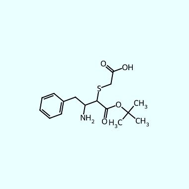 CC(C)(C)OC(=O)C(SCC(=O)O)C(N)Cc1ccccc1